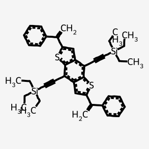 C=C(c1ccccc1)c1cc2c(C#C[Si](CC)(CC)CC)c3sc(C(=C)c4ccccc4)cc3c(C#C[Si](CC)(CC)CC)c2s1